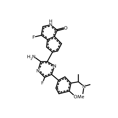 COc1ccc(-c2nc(-c3ccc4c(=O)[nH]cc(F)c4c3)c(N)nc2F)cc1C(C)N(C)C